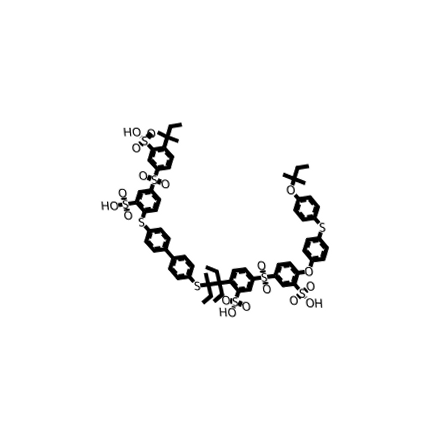 CCC(C)(C)Oc1ccc(Sc2ccc(Oc3ccc(S(=O)(=O)c4ccc(C(CC)(CC)C(C)(CC)Sc5ccc(-c6ccc(Sc7ccc(S(=O)(=O)c8ccc(C(C)(C)CC)c(S(=O)(=O)O)c8)cc7S(=O)(=O)O)cc6)cc5)c(S(=O)(=O)O)c4)cc3S(=O)(=O)O)cc2)cc1